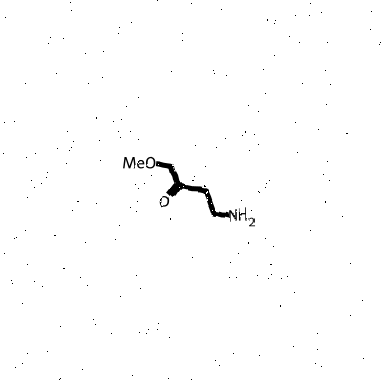 COCC(=O)CCN